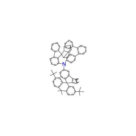 CC(C)(C)c1ccc2c(c1)C1(c3ccccc3-c3cc(N(c4ccc(-c5ccccc5-c5ccccc5)cc4)c4cccc5c4C4(c6ccccc6-5)C5CC6CC(C5)C4C6)ccc31)c1cc(C(C)(C)C)ccc1C2(C)C